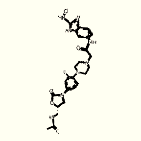 CC(=O)NC[C@H]1CN(c2ccc(N3CCN(CC(=O)Nc4ccc5nc(NCl)[nH]c5c4)CC3)c(F)c2)C(=O)O1